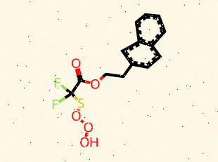 O=C(OCCc1ccc2ccccc2c1)C(F)(F)SOOO